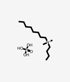 CCCCCCCC[N+](C)(C)CCCC.O=P(O)(O)O